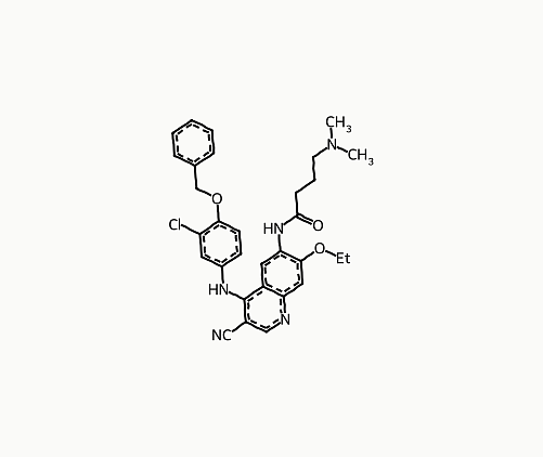 CCOc1cc2ncc(C#N)c(Nc3ccc(OCc4ccccc4)c(Cl)c3)c2cc1NC(=O)CCCN(C)C